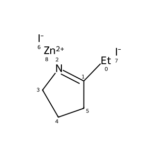 CCC1=NCCC1.[I-].[I-].[Zn+2]